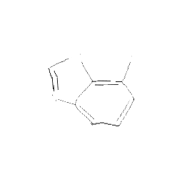 Clc1cccc2n[c]oc12